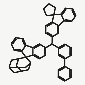 c1ccc(-c2cccc(N(c3ccc4c(c3)-c3ccccc3C43CCCC3)c3ccc4c(c3)-c3ccccc3C43C4CC5CC(C4)CC3C5)c2)cc1